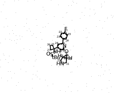 CC(C)(C)[S+]([O-])NC1(c2cc(O[C@@H]3[C@@H]4CNC[C@@H]43)nc(-c3ccc(F)cc3)c2)CCC1